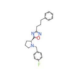 Fc1ccc(CN2CCC[C@H]2c2nc(CCCc3ccccc3)no2)cc1